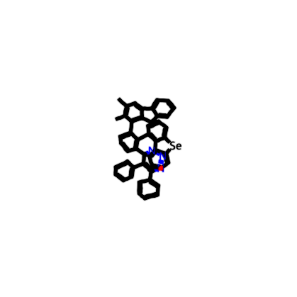 Cc1cc2c(c(-c3cccc(-c4nnnc(-c5ccccc5)c4-c4ccccc4)c3-c3cccc4[se]c5ccccc5c34)c1C)Cc1ccccc1-2